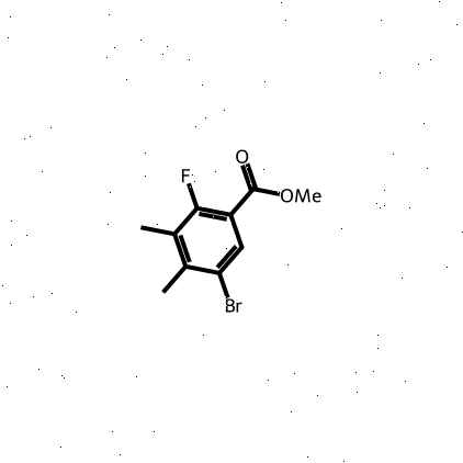 COC(=O)c1cc(Br)c(C)c(C)c1F